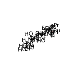 CCCC(=O)OCN(C(=O)[C@@H](NC(=O)[C@H]1CCCCN1C)C(C)CC)[C@H](C[C@@H](OCC)c1nc(C(=O)N[C@@H](Cc2ccc(O)cc2)C[C@H](C)C(=O)N[C@@H](CSSCCC(=O)N[C@@H](CCC(=O)NCC[C@@H](O)[C@H](O)[C@H](O)CO)C(N)=O)C(=O)O)cs1)C(C)C